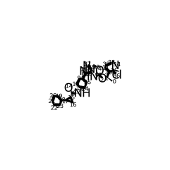 C[C@@H](OC(=O)Nc1c(-c2ccc(NC(=O)[C@@H]3C[C@H]3c3ccccc3)cc2)nnn1C)c1cccnc1Cl